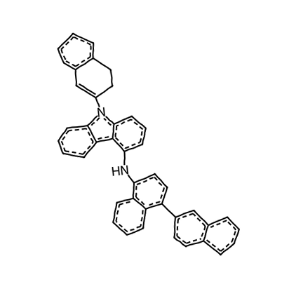 C1=C(n2c3ccccc3c3c(Nc4ccc(-c5ccc6ccccc6c5)c5ccccc45)cccc32)CCc2ccccc21